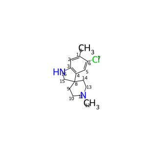 Cc1cc2c(cc1Cl)C1(CCN(C)CC1)CN2